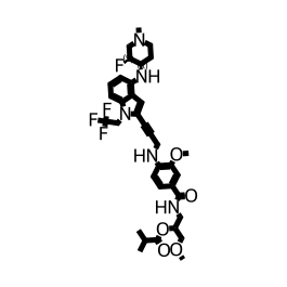 COCC(CNC(=O)c1ccc(NCC#Cc2cc3c(N[C@@H]4CCN(C)C[C@@H]4F)cccc3n2CC(F)(F)F)c(OC)c1)OC(=O)C(C)C